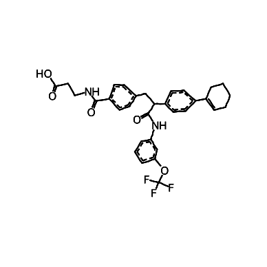 O=C(O)CCNC(=O)c1ccc(CC(C(=O)Nc2cccc(OC(F)(F)F)c2)c2ccc(C3=CCCCC3)cc2)cc1